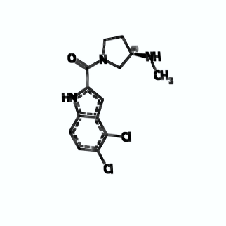 CN[C@@H]1CCN(C(=O)c2cc3c(Cl)c(Cl)ccc3[nH]2)C1